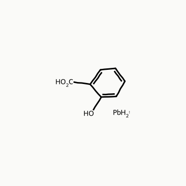 O=C(O)c1ccccc1O.[PbH2]